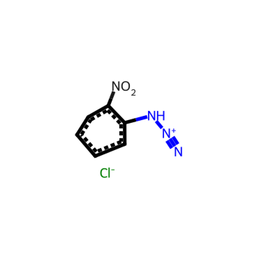 N#[N+]Nc1ccccc1[N+](=O)[O-].[Cl-]